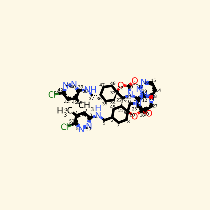 Cc1cc(NCC2CCC3(CN(c4cccnn4)C(=O)O3)C([C@H]3N(c4cccnn4)C(=O)O[C@]34CC[C@H](CNc3nnc(Cl)cc3C)CC4)C2)nnc1Cl